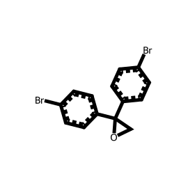 Brc1ccc(C2(c3ccc(Br)cc3)CO2)cc1